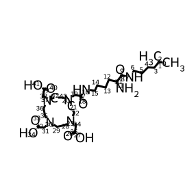 CC(C)CCCCNC(=O)[C@H](N)CCCCNC(=O)CN1CCN(CC(=O)O)CCN(CC(=O)O)CCN(CC(=O)O)CC1